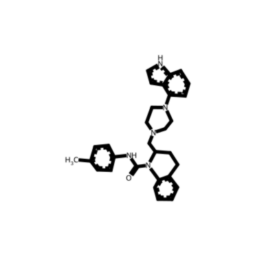 Cc1ccc(NC(=O)N2c3ccccc3CCC2CN2CCN(c3cccc4[nH]ccc34)CC2)cc1